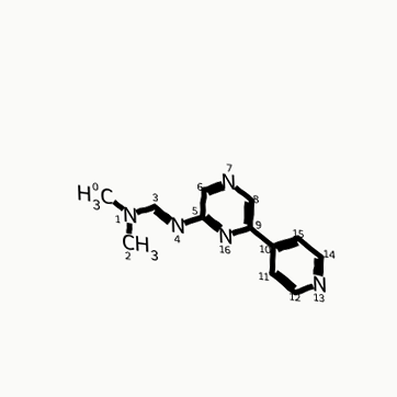 CN(C)C=Nc1cncc(-c2ccncc2)n1